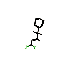 CC(=CC(Cl)Cl)C(C)(C)c1ccccc1